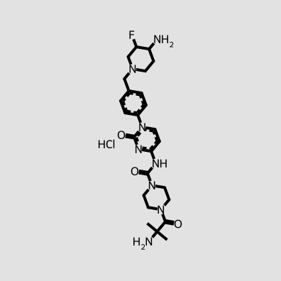 CC(C)(N)C(=O)N1CCN(C(=O)Nc2ccn(-c3ccc(CN4CCC(N)C(F)C4)cc3)c(=O)n2)CC1.Cl